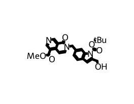 COC(=O)c1cncc2c(=O)n(Cc3ccc4cc(CO)n(C(=O)OC(C)(C)C)c4c3)ccc12